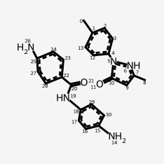 Cc1ccc(-n2[nH]c(C)cc2=O)cc1.Nc1ccc(NC(=O)c2ccc(N)cc2)cc1